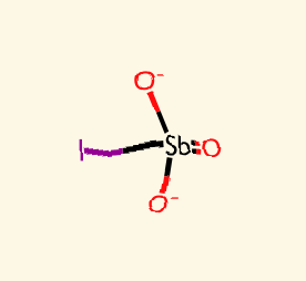 [O]=[Sb]([O-])([O-])[I]